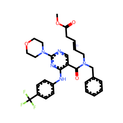 COC(=O)C/C=C/CN(Cc1ccccc1)C(=O)c1cnc(N2CCOCC2)nc1Nc1ccc(C(F)(F)F)cc1